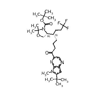 Cn1c(C(C)(C)C)cc2ncc(C(=O)CCC[C@@H](CCC(F)(F)F)[C@@H]3COC(C)(C)N3C(=O)OC(C)(C)C)nc21